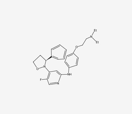 CCN(CC)CCOc1ccc(Nc2cc(N3OCC[C@H]3c3ccccc3)c(F)cn2)cc1